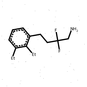 CCc1cccc(CCC(F)(F)CN)c1CC